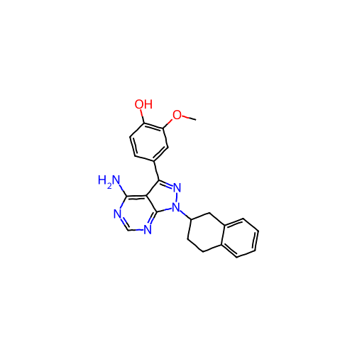 COc1cc(-c2nn(C3CCc4ccccc4C3)c3ncnc(N)c23)ccc1O